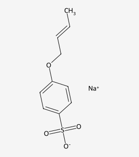 C/C=C/COc1ccc(S(=O)(=O)[O-])cc1.[Na+]